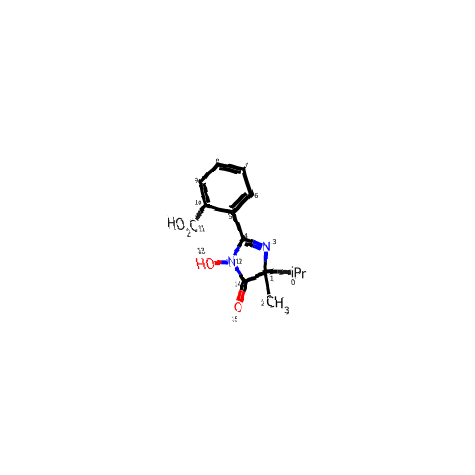 CC(C)C1(C)N=C(c2ccccc2C(=O)O)N(O)C1=O